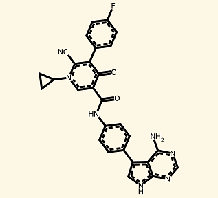 N#Cc1c(-c2ccc(F)cc2)c(=O)c(C(=O)Nc2ccc(-c3c[nH]c4ncnc(N)c34)cc2)cn1C1CC1